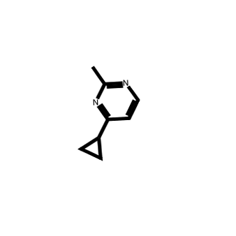 Cc1nccc(C2CC2)n1